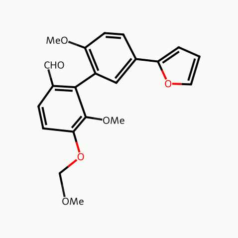 COCOc1ccc(C=O)c(-c2cc(-c3ccco3)ccc2OC)c1OC